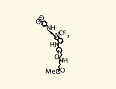 COC(=O)CCCNC(=O)CN1CCC(Nc2cccc3c2cc(C#CCNc2ccc(S(C)(=O)=O)cc2)n3CC(F)(F)F)CC1